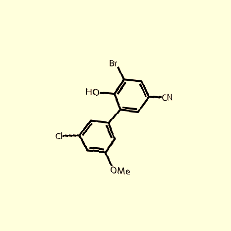 COc1cc(Cl)cc(-c2cc(C#N)cc(Br)c2O)c1